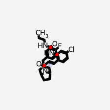 CCCNC(=O)Nc1cc(Cl)ccc1/C=C/C(=O)N1C2CCC1CN(Cc1ccc(F)cc1)C2